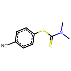 CN(C)C(=S)Sc1ccc(C#N)cc1